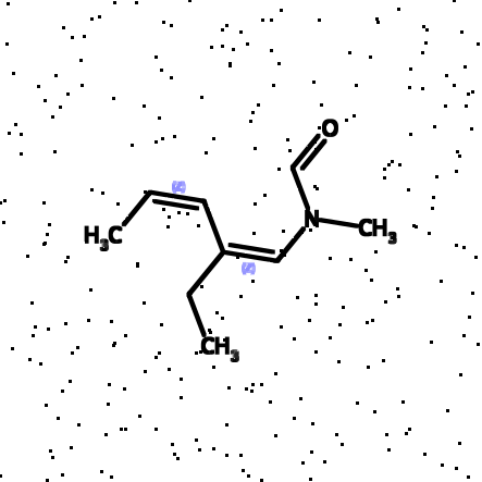 C/C=C\C(=C/N(C)C=O)CC